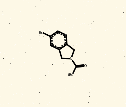 CC(C)(C)C(=O)N1Cc2ccc(Br)cc2C1